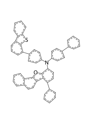 c1ccc(-c2ccc(N(c3ccc(-c4cccc5c4sc4ccccc45)cc3)c3ccc(-c4ccccc4)c4c3oc3c5ccccc5ccc34)cc2)cc1